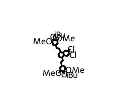 CCC(C)Oc1c(OC)cc(/C=C/c2ccc(/C=C/c3cc(OC)c(OC(C)CC)c(OC)c3)c3cc(Cl)c(Cl)cc23)cc1OC